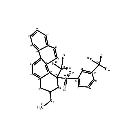 CSC1Cc2ccc3c(ccc4ccccc43)c2C(C(F)(F)F)(S(=O)(=O)c2cccc(C(F)(F)F)c2)C1